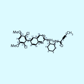 CC#CC(=O)NC1CCCCC1Nc1ncc2cc(-c3c(Cl)c(OC)cc(OC)c3Cl)ccc2n1